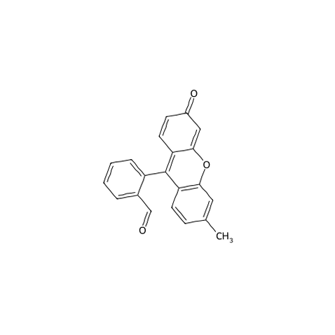 Cc1ccc2c(-c3ccccc3C=O)c3ccc(=O)cc-3oc2c1